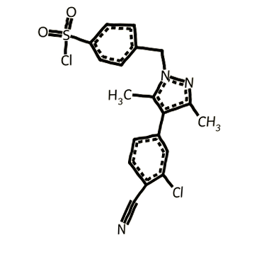 Cc1nn(Cc2ccc(S(=O)(=O)Cl)cc2)c(C)c1-c1ccc(C#N)c(Cl)c1